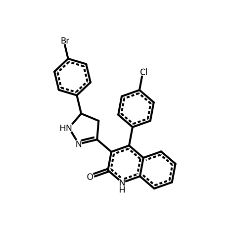 O=c1[nH]c2ccccc2c(-c2ccc(Cl)cc2)c1C1=NNC(c2ccc(Br)cc2)C1